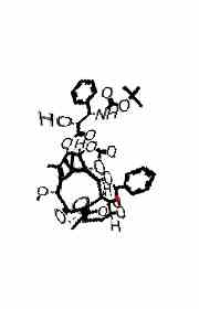 CO[C@H]1C(=O)[C@]2(C)CC[C@H]3OC[C@@]3(OC(C)=O)[C@H]2[C@H](OC(=O)c2ccccc2)[C@]23OC(=O)O[C@H]2[C@H](OC(=O)[C@H](O)[C@@H](NC(=O)OC(C)(C)C)c2ccccc2)C(C)=C1C3(C)C